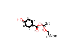 CCCCCCCCCCOC(CC)OC(=O)c1ccc(O)cc1